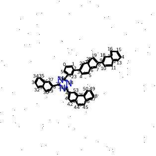 c1cc(-c2ccc3cc(-c4ccc5ccccc5c4)ccc3c2)cc(-c2nc(-c3ccc4ccccc4c3)nc(-c3ccc4ccc5ccccc5c4c3)n2)c1